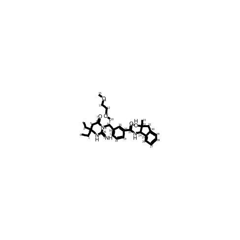 CCC1(CC)CC(=O)N([C@H](COCCOC)c2cccc(C(=O)NC3c4ccccc4CC3(C)O)c2)C(=N)N1